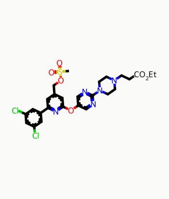 CCOC(=O)CCN1CCN(c2ncc(Oc3cc(COS(C)(=O)=O)cc(-c4cc(Cl)cc(Cl)c4)n3)cn2)CC1